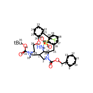 CC1CN(C(=O)OCc2ccccc2)C(Cc2cccc(-c3ccccc3OCCN(C)C(=O)OC(C)(C)C)c2F)C1NS(=O)(=O)CF